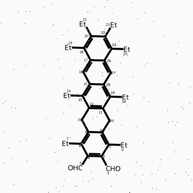 CCc1c(C=O)c(C=O)c(CC)c2c1Cc1c(c(CC)c3cc4c(CC)c(CC)c(CC)c(CC)c4cc3c1CC)C2